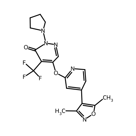 Cc1noc(C)c1-c1ccnc(Oc2cnn(N3CCCC3)c(=O)c2C(F)(F)F)c1